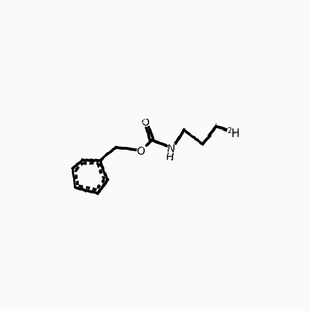 [2H][CH]CCNC(=O)OCc1ccccc1